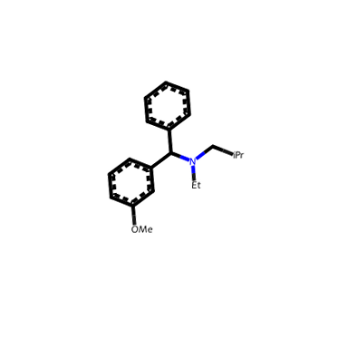 CCN(CC(C)C)C(c1ccccc1)c1cccc(OC)c1